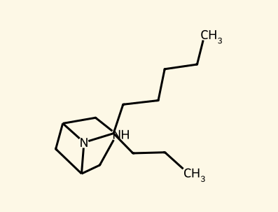 CCCCCC(CCC)N1C2CNCC1C2